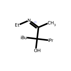 CC/N=C(/C)C(O)(C(C)C)C(C)CC